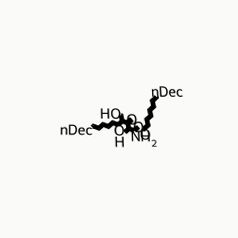 CCCCCCCCCCCCCCCCCC(=O)OC(N)C(C)C(=O)C(CO)C(O)CCCCCCCCCCCCCCC